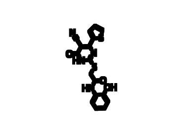 N#Cc1c(-c2cccs2)nc(SCC(=O)Nc2ccccc2O)[nH]c1=O